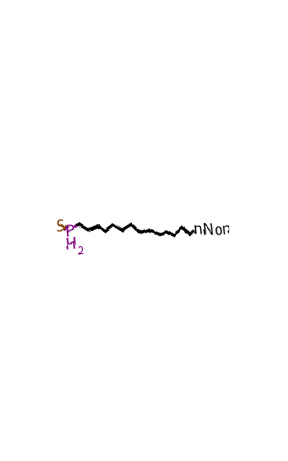 CCCCCCCCCCCCCCCCCCCCCCC[PH2]=S